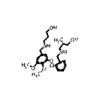 COc1cc(CNCCCO)cc(OC)c1OC.C[C@H](CO)CNCc1ccccc1